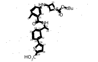 Cc1ccc(NC2CN(C(=O)OC(C)(C)C)C2)cc1C(=O)NC(C)c1cccc(-c2ccc(C(=O)O)s2)c1